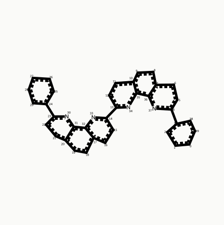 c1ccc(-c2ccc3ccc4ccc(-c5ccc6ccc7ccc(-c8ccccc8)nc7c6n5)nc4c3n2)cc1